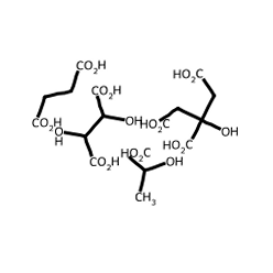 CC(O)C(=O)O.O=C(O)C(O)C(O)C(=O)O.O=C(O)CC(O)(CC(=O)O)C(=O)O.O=C(O)CCC(=O)O